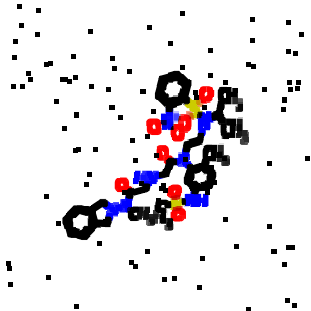 Cc1ccc(NS(C)(=O)=O)cc1N(CCN(C(C)C)S(=O)(=O)c1ccccc1[N+](=O)[O-])C(=O)CNCC(=O)N(C)N1Cc2ccccc2C1